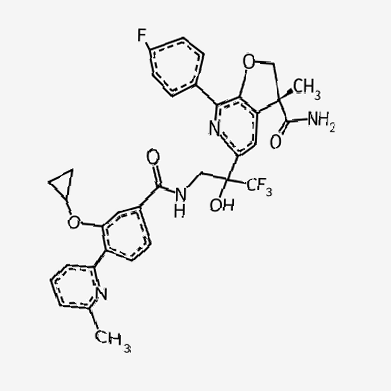 Cc1cccc(-c2ccc(C(=O)NCC(O)(c3cc4c(c(-c5ccc(F)cc5)n3)OC[C@]4(C)C(N)=O)C(F)(F)F)cc2OC2CC2)n1